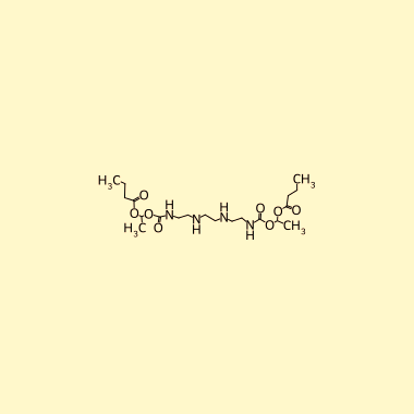 CCCC(=O)OC(C)OC(=O)NCCNCCNCCNC(=O)OC(C)OC(=O)CCC